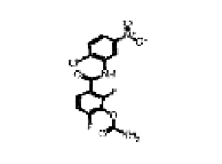 NC(=O)Oc1c(F)ccc(C(=O)Nc2cc([N+](=O)[O-])ccc2Cl)c1F